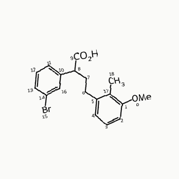 COc1cccc(CCC(C(=O)O)c2cccc(Br)c2)c1C